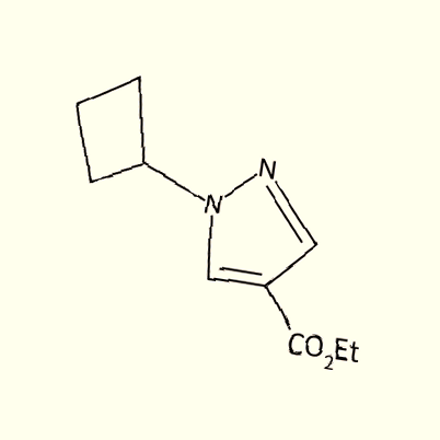 CCOC(=O)c1cnn(C2CCC2)c1